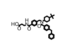 CC(C)(C)C1CCC(N(Cc2ccc(C(=O)NCCC(=O)O)cc2)C(=O)c2ccc(Cc3ccccc3)cc2)CC1